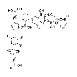 C/C=C(/C)B(O)O.C=CB(O)O.CCCC/C=C/B(O)O.OB(O)/C=C/c1ccccc1.OB(O)C1=CCCCC1.OB(O)c1cncc2ccccc12.OB(O)c1nc(F)c(F)c(F)c1F